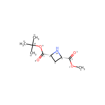 COC(=O)[C@@H]1C[C@H](C(=O)OC(C)(C)C)N1